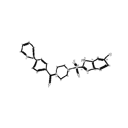 O=C(c1ccc(-c2ccccn2)cc1)N1CCN(S(=O)(=O)c2nc3ccc(Cl)cc3[nH]2)CC1